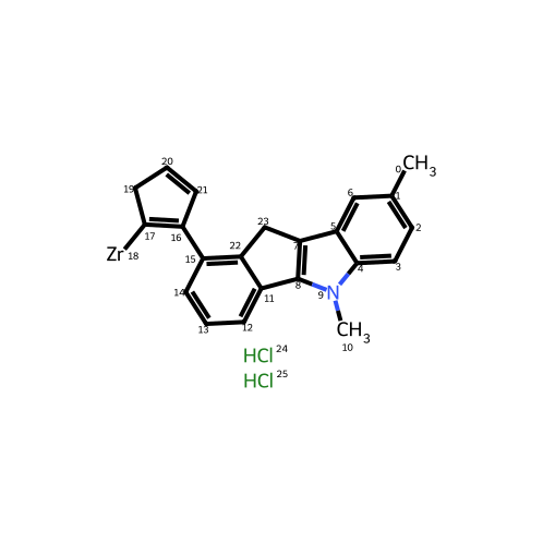 Cc1ccc2c(c1)c1c(n2C)-c2cccc(C3=[C]([Zr])CC=C3)c2C1.Cl.Cl